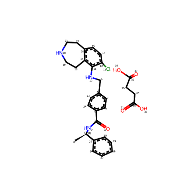 C[C@@H](NC(=O)c1ccc(CNc2c(Cl)ccc3c2CCNCC3)cc1)c1ccccc1.O=C(O)CCC(=O)O